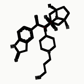 O=C1Cc2cc(C(=O)N[C@@H]3C[C@H]4CC[C@@H](C3)N4S(=O)(=O)CC3CCN(CCCO)CC3)ccc2N1